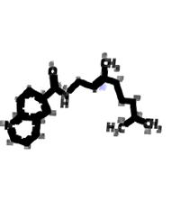 C/C(=C\CNC(=O)c1ccc2ncccc2c1)CCCC(C)C